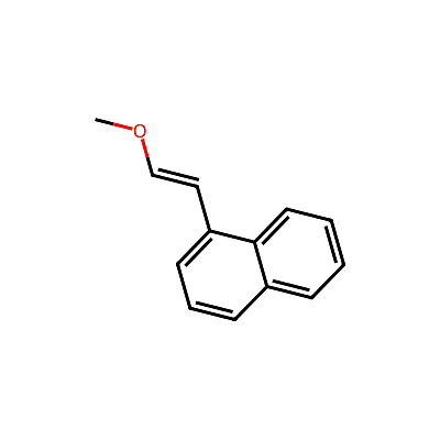 COC=Cc1cccc2ccccc12